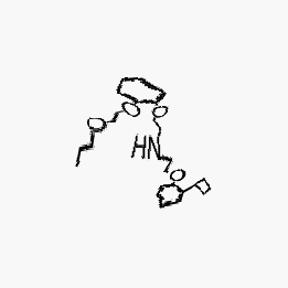 CCCOCCOc1ccccc1OCCNCCOc1ccccc1C1CCC1